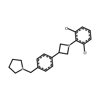 Clc1cccc(Cl)c1N1CC(c2ccc(CN3CCCC3)cc2)C1